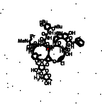 CCCCOc1ccc(OCCCC)c(NC(=O)NC(=O)C[C@@H]2NC(=O)[C@H](NC(=O)[C@@H](CC(C)C)NC)[C@H](O)c3ccc(c(C)c3)Oc3cc4cc(c3O[C@@H]3O[C@H](CO)[C@@H](O)[C@H](O)[C@H]3O[C@H]3C[C@](C)(N)[C@H](O)[C@H](C)O3)Oc3ccc(cc3Cl)[C@@H](O)[C@@H]3NC(=O)[C@H](NC(=O)[C@@H]4NC2=O)c2ccc(O)c(c2)-c2c(O)cc(O)cc2[C@@H](C(=O)NC2C4CC5CC(C4)CC2C5)NC3=O)c1